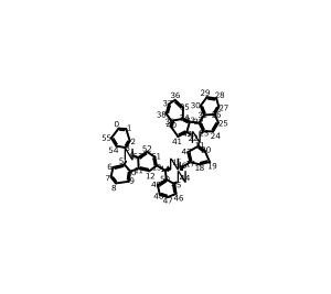 c1ccc(-n2c3ccccc3c3cc(-c4nc(-c5cccc(-n6c7ccc8ccccc8c7c7c8ccccc8ccc76)c5)nc5ccccc45)ccc32)cc1